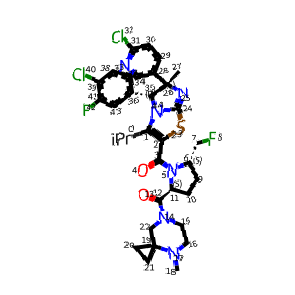 CC(C)C1=C(C(=O)N2[C@H](CF)CC[C@H]2C(=O)N2CCN(C)C3(CC3)C2)SC2=N[C@@](C)(c3ccc(Cl)nc3)[C@@H](c3ccc(Cl)c(F)c3)N21